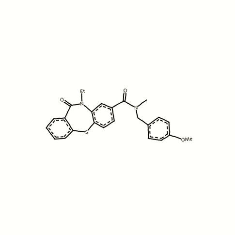 CCN1C(=O)c2ccccc2Sc2ccc(C(=O)N(C)Cc3ccc(OC)cc3)cc21